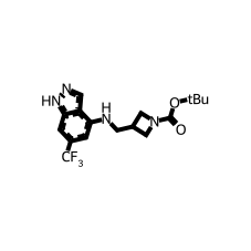 CC(C)(C)OC(=O)N1CC(CNc2cc(C(F)(F)F)cc3[nH]ncc23)C1